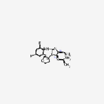 C=C(N)/N=C1\C(=C/N)N=C(Nc2c(F)cc(F)cc2F)N1[C@H]1CCOC1